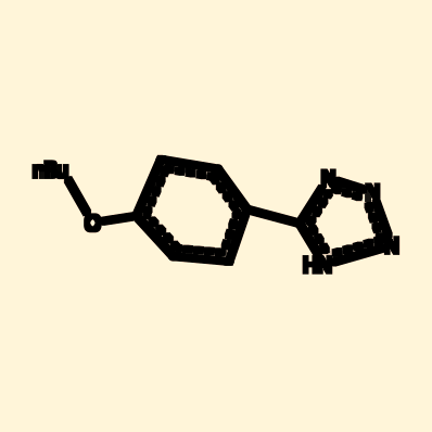 CCCCOc1ccc(-c2nnn[nH]2)cc1